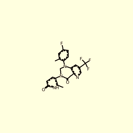 Cc1cc(F)ccc1N1CN(c2ccc(=O)[nH]c2C)C(=O)c2ncc(C(F)(F)F)cc21